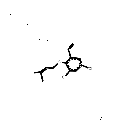 C=Cc1cc(Cl)cc(Cl)c1OCC=C(C)C